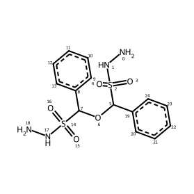 NNS(=O)(=O)C(OC(c1ccccc1)S(=O)(=O)NN)c1ccccc1